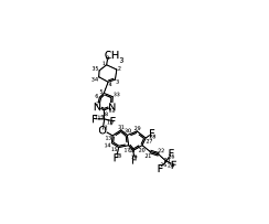 CC1CC=C(c2cnc(C(F)(F)Oc3cc(F)c4c(F)c(C#CC(F)(F)F)c(F)cc4c3)nc2)CC1